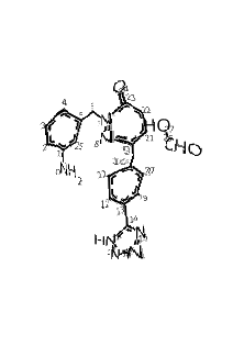 Nc1cccc(Cn2nc(-c3ccc(-c4nnn[nH]4)cc3)ccc2=O)c1.O=CO